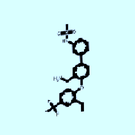 CCc1cc(C(F)(F)F)ccc1Oc1ccc(-c2cccc(NS(C)(=O)=O)c2)cc1CN